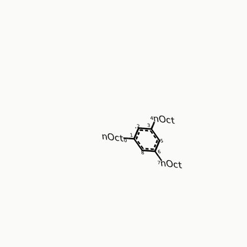 CCCCCCCCc1[c]c(CCCCCCCC)cc(CCCCCCCC)c1